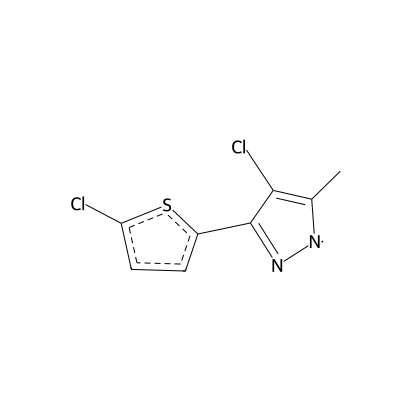 CC1=C(Cl)C(c2ccc(Cl)s2)=N[N]1